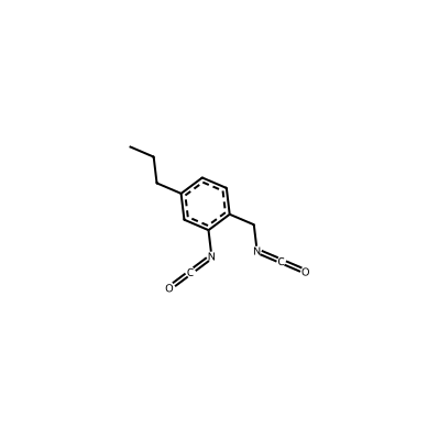 CCCc1ccc(CN=C=O)c(N=C=O)c1